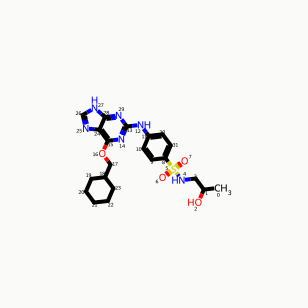 CC(O)CNS(=O)(=O)c1ccc(Nc2nc(OCC3CCCCC3)c3nc[nH]c3n2)cc1